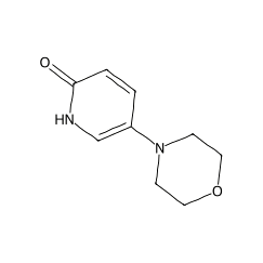 O=c1ccc(N2CCOCC2)c[nH]1